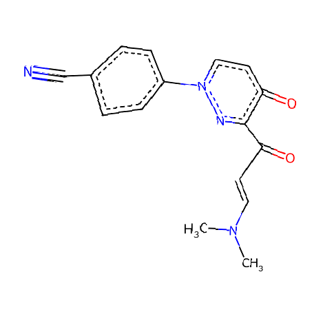 CN(C)/C=C/C(=O)c1nn(-c2ccc(C#N)cc2)ccc1=O